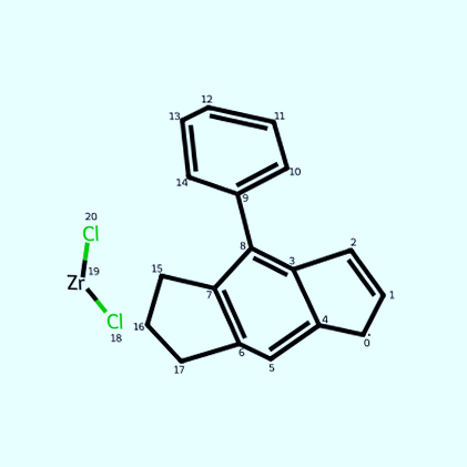 [CH]1C=Cc2c1cc1c(c2-c2ccccc2)CCC1.[Cl][Zr][Cl]